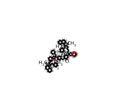 CN1/C(=C/C=C/C2=[N+](C)c3cc(Cc4cc5c(cc4Cl)C(Cc4ccccc4)(Cc4ccccc4)C(/C=C/C=C4/N(C)c6ccc7ccccc7c6C4(C)Cc4ccccc4)=[N+]5C)c(Cl)cc3C2(Cc2ccccc2)Cc2ccccc2)C(C)(Cc2ccccc2)c2c1ccc1ccccc21